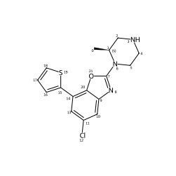 C[C@H]1CNCCN1c1nc2cc(Cl)cc(-c3cccs3)c2o1